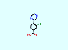 O=C(O)c1ccc(-c2cnccn2)c(Cl)c1